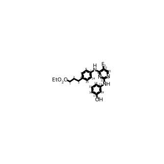 CCOC(=O)CCCc1ccc(Nc2nc(Nc3cccc(O)c3)ncc2F)cc1